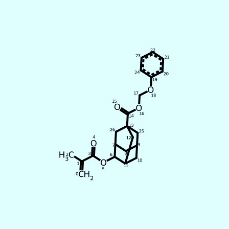 C=C(C)C(=O)OC1C2CC3CC1CC(C(=O)OCOc1ccccc1)(C3)C2